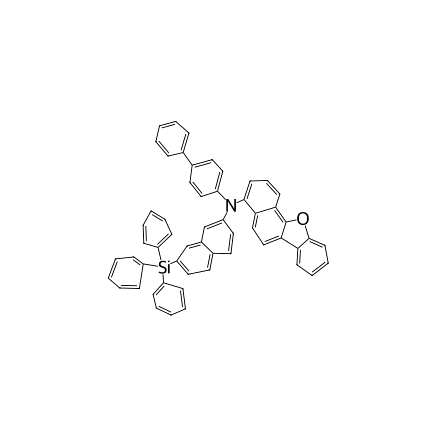 c1ccc(-c2ccc(N(c3ccc4ccc([Si](c5ccccc5)(c5ccccc5)c5ccccc5)cc4c3)c3cccc4c3ccc3c5ccccc5oc43)cc2)cc1